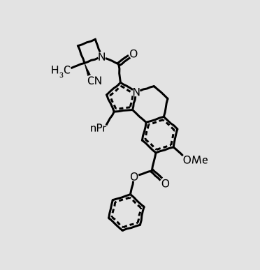 CCCc1cc(C(=O)N2CC[C@]2(C)C#N)n2c1-c1cc(C(=O)Oc3ccccc3)c(OC)cc1CC2